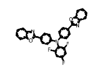 Fc1cc(F)c(N(c2ccc(-c3nc4ccccc4o3)cc2)c2ccc(-c3nc4ccccc4o3)cc2)c(F)c1